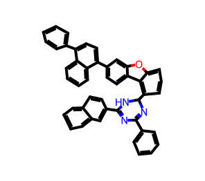 c1ccc(C2=NC(c3cccc4oc5cc(-c6ccc(-c7ccccc7)c7ccccc67)ccc5c34)NC(c3ccc4ccccc4c3)=N2)cc1